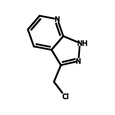 ClCc1n[nH]c2ncccc12